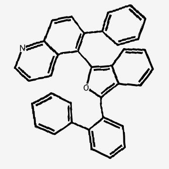 c1ccc(-c2ccccc2-c2oc(-c3c(-c4ccccc4)ccc4ncccc34)c3ccccc23)cc1